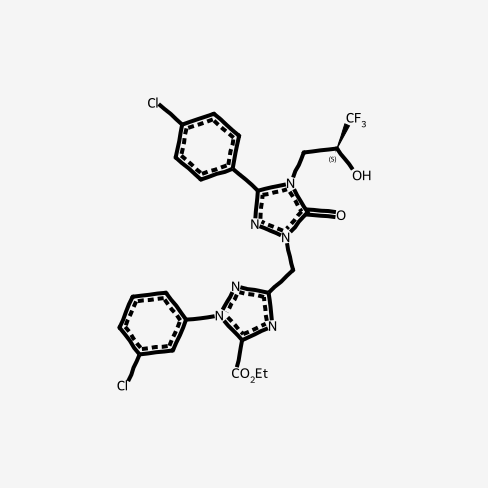 CCOC(=O)c1nc(Cn2nc(-c3ccc(Cl)cc3)n(C[C@H](O)C(F)(F)F)c2=O)nn1-c1cccc(Cl)c1